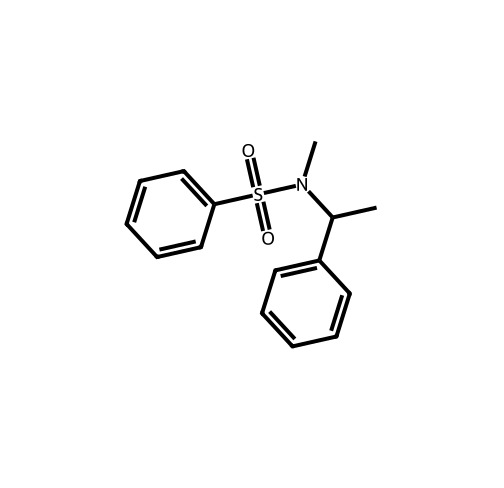 CC(c1ccccc1)N(C)S(=O)(=O)c1ccccc1